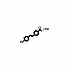 CCCCOC(=O)c1ccc(/C=C/c2ccc(Br)cc2)cc1